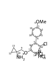 COc1ccc(-c2cc(OCC3(N)CC3)cnc2Cl)cc1.Cl.Cl